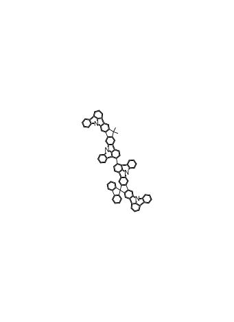 CC1(C)c2cc3c4cccc5c6ccccc6n(c3cc2-c2cc3c(cc21)c1ccc(-c2ccc6c7cc8c(cc7n7c9ccccc9c2c67)-c2cc6c(cc2C82c7ccccc7-c7ccccc72)c2cccc7c8ccccc8n6c72)c2c6ccccc6n3c12)c54